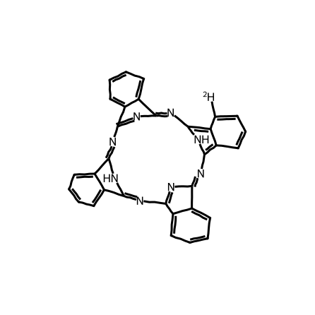 [2H]c1cccc2c3nc4nc(nc5[nH]c(nc6nc(nc([nH]3)c12)-c1ccccc1-6)c1ccccc51)-c1ccccc1-4